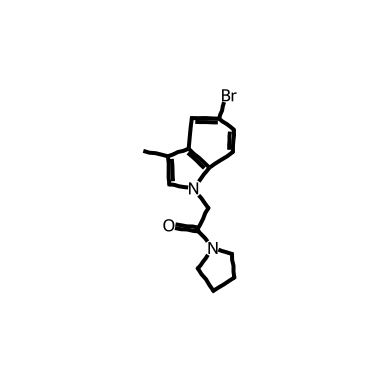 Cc1cn(CC(=O)N2CCCC2)c2ccc(Br)cc12